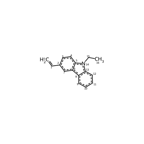 C=Cc1ccc2c(c1)c1ccccc1n2CC